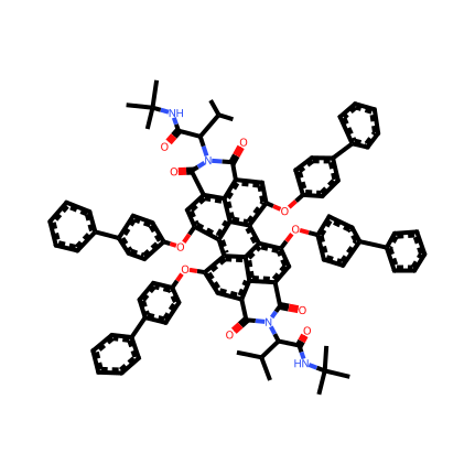 CC(C)C(C(=O)NC(C)(C)C)N1C(=O)c2cc(Oc3ccc(-c4ccccc4)cc3)c3c4c(Oc5ccc(-c6ccccc6)cc5)cc5c6c(cc(Oc7ccc(-c8ccccc8)cc7)c(c7c(Oc8ccc(-c9ccccc9)cc8)cc(c2c37)C1=O)c64)C(=O)N(C(C(=O)NC(C)(C)C)C(C)C)C5=O